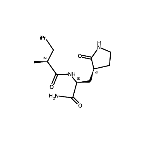 CC(C)C[C@H](C)C(=O)N[C@@H](C[C@@H]1CCNC1=O)C(N)=O